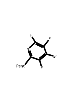 CCCC(C)c1nc(F)c(F)c(Br)c1F